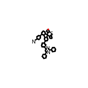 N#Cc1ccc(-c2cccc3c2-c2cc(-c4cccc(-c5cc(-c6ccccc6)nc(-c6ccccc6)n5)c4)ccc2C32c3ccccc3Sc3ccccc32)cc1